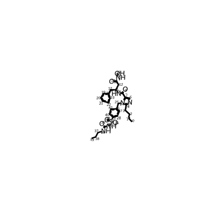 CCCCc1ncc(C(=O)NC(CC(=O)NO)Cc2ccccc2)n1Cc1ccc(S(=O)(=O)NC(=O)NCCC)cc1